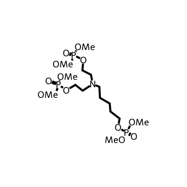 COP(=O)(OC)OCCCCCN(CCOP(=O)(OC)OC)CCOP(=O)(OC)OC